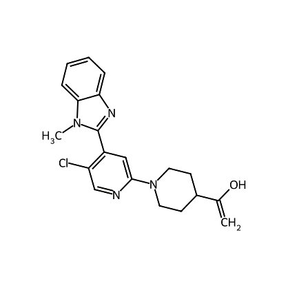 C=C(O)C1CCN(c2cc(-c3nc4ccccc4n3C)c(Cl)cn2)CC1